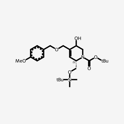 COc1ccc(COCC2=C[C@@H](CO[Si](C)(C)C(C)(C)C)N(C(=O)OC(C)(C)C)CC2O)cc1